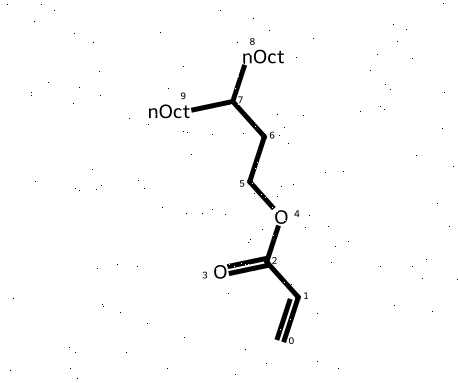 C=CC(=O)OCCC(CCCCCCCC)CCCCCCCC